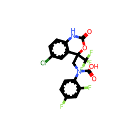 O=C1Nc2ccc(Cl)cc2C(CN(C(=O)O)c2ccc(F)cc2F)(C(F)(F)F)O1